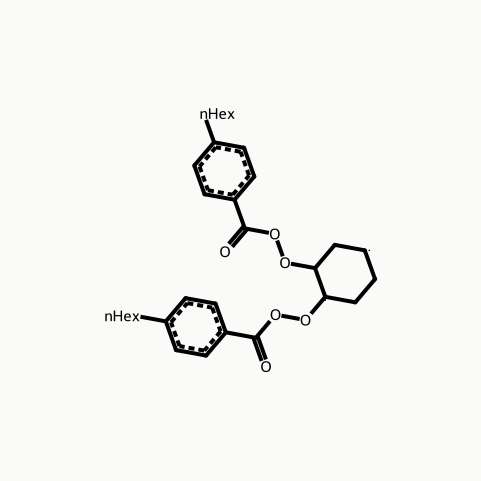 CCCCCCc1ccc(C(=O)OO[C]2CC[CH]CC2OOC(=O)c2ccc(CCCCCC)cc2)cc1